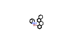 Brc1cccc2c1-c1ccc3c(c1CC2)CCC=C3.C1=CC2=CC=C(CC2)N1